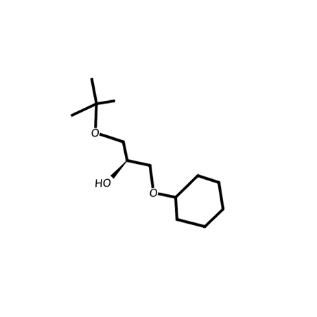 CC(C)(C)OC[C@H](O)COC1CCCCC1